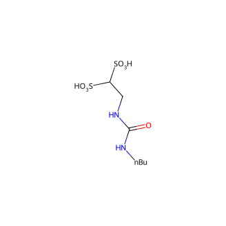 CCCCNC(=O)NCC(S(=O)(=O)O)S(=O)(=O)O